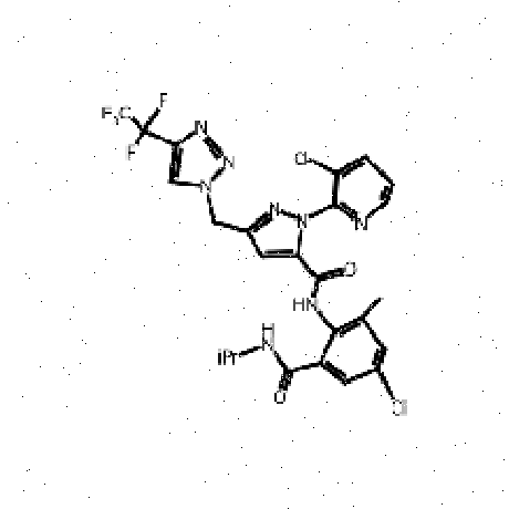 Cc1cc(Cl)cc(C(=O)NC(C)C)c1NC(=O)c1cc(Cn2cc(C(F)(F)C(F)(F)F)nn2)nn1-c1ncccc1Cl